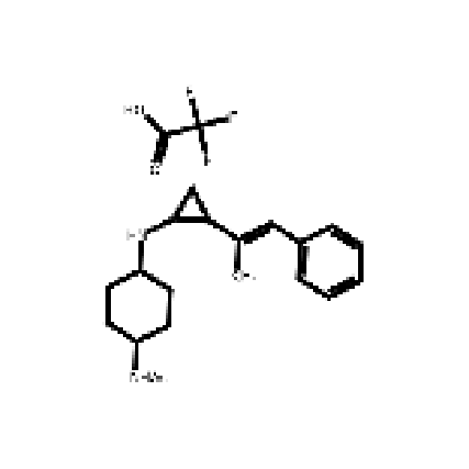 CC(=O)NC1CCC(NC2CC2/C(C)=C/c2ccccc2)CC1.O=C(O)C(F)(F)F